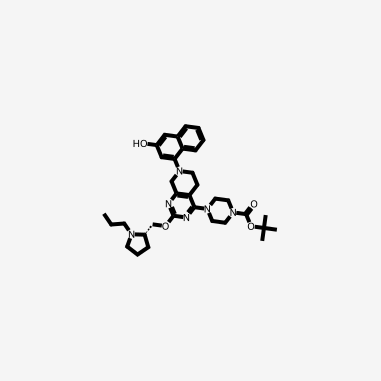 CCCN1CCC[C@H]1COc1nc2c(c(N3CCN(C(=O)OC(C)(C)C)CC3)n1)CCN(c1cc(O)cc3ccccc13)C2